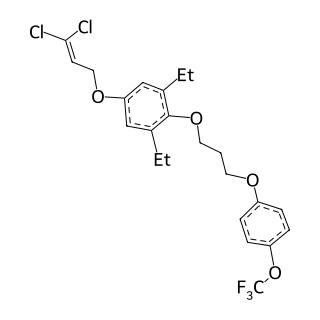 CCc1cc(OCC=C(Cl)Cl)cc(CC)c1OCCCOc1ccc(OC(F)(F)F)cc1